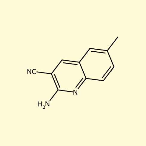 Cc1ccc2nc(N)c(C#N)cc2c1